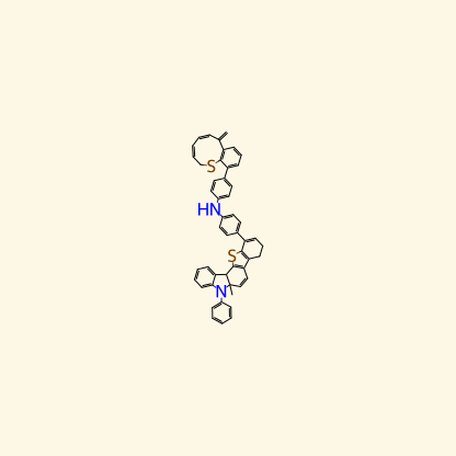 C=C1/C=C\C=C/CSc2c1cccc2-c1ccc(Nc2ccc(C3=CCCc4c3sc3c4C=CC4(C)C3c3ccccc3N4c3ccccc3)cc2)cc1